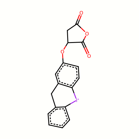 O=C1CC(Oc2ccc3c(c2)Cc2ccccc2[I+]3)C(=O)O1